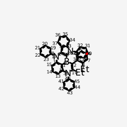 CCC1=C(c2ccccc2CC)B2c3c(cccc3N(c3ccccc3)c3c2n(-c2ccccc2)c2ccccc32)N1c1ccccc1